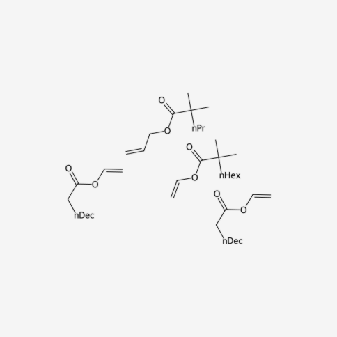 C=CCOC(=O)C(C)(C)CCC.C=COC(=O)C(C)(C)CCCCCC.C=COC(=O)CCCCCCCCCCC.C=COC(=O)CCCCCCCCCCC